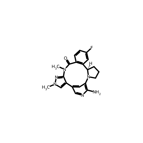 CN1C(=O)c2ccc(F)cc2[C@H]2CCCN2c2cc(cnc2N)-c2cn(C)nc21